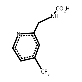 O=C(O)NCc1cc(C(F)(F)F)ccn1